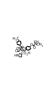 Cc1ccc(S(=O)(=O)N(C(=O)[C@@H]2CCCN2)[C@@](C)(Cc2ccc(OC(=O)N(C)C)cc2)C(=O)O)cc1